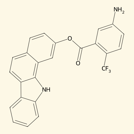 Nc1ccc(C(F)(F)F)c(C(=O)Oc2ccc3ccc4c5ccccc5[nH]c4c3c2)c1